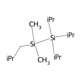 CC(C)C[Si](C)(C)[Si](C(C)C)(C(C)C)C(C)C